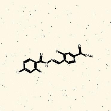 COC(=O)c1ccc(/C=N/NC(=O)c2ccc(Cl)cc2F)c(F)c1